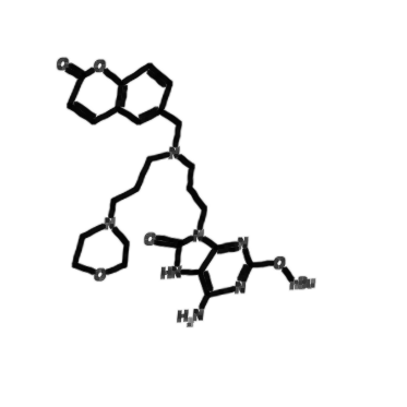 CCCCOc1nc(N)c2[nH]c(=O)n(CCCN(CCCN3CCOCC3)Cc3ccc4oc(=O)ccc4c3)c2n1